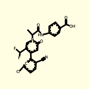 CC(C(=O)Nc1ccc(C(=O)O)cc1)n1cc(C(F)F)c(-c2cc(Cl)ccc2C#N)cc1=O